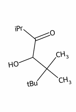 CC(C)C(=O)C(O)C(C)(C)C(C)(C)C